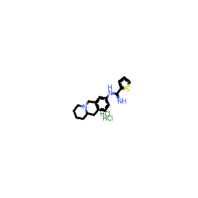 Cl.Cl.N=C(Nc1ccc2c(c1)CN1CCCCC1C2)c1cccs1